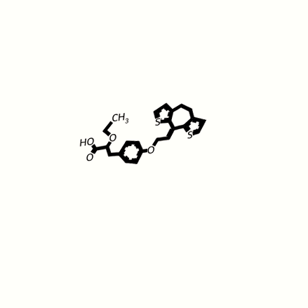 CCOC(Cc1ccc(OCC=C2c3sccc3CCc3ccsc32)cc1)C(=O)O